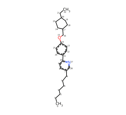 CCCCCCCc1ccc(-c2ccc(OCC3CCC(CC)CC3)cc2)nc1